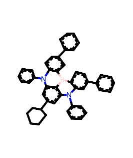 c1ccc(-c2ccc3c(c2)B2c4ccc(-c5ccccc5)cc4N(c4ccccc4)c4cc(C5CCCCC5)cc(c42)N3c2ccccc2)cc1